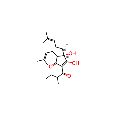 CCC(C)C(=O)C1=C(O)[C@@](O)([C@@H](C)CC=C(C)C)C(CC=C(C)C)C1=O